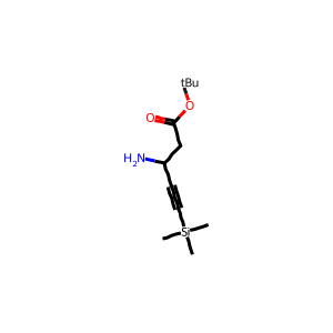 CC(C)(C)OC(=O)CC(N)C#C[Si](C)(C)C